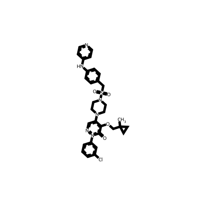 CC1(COc2c(N3CCN(S(=O)(=O)Cc4ccc(Nc5ccncc5)cc4)CC3)cnn(-c3cccc(Cl)c3)c2=O)CC1